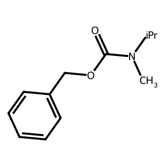 CC(C)N(C)C(=O)OCc1ccccc1